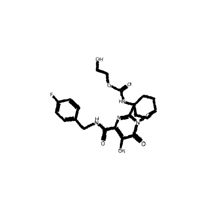 O=C(NC12CCC(CC1)Cn1c2nc(C(=O)NCc2ccc(F)cc2)c(O)c1=O)OCCO